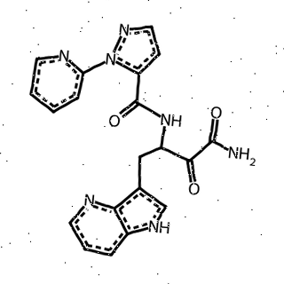 NC(=O)C(=O)C(Cc1c[nH]c2cccnc12)NC(=O)c1ccnn1-c1ccccn1